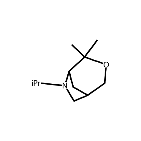 CC(C)N1CC2COC(C)(C)C1C2